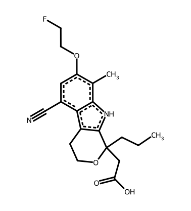 CCCC1(CC(=O)O)OCCc2c1[nH]c1c(C)c(OCCF)cc(C#N)c21